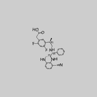 C[C@@H](CN[C@H](c1ccccc1)[C@H]1CNc2cccc(C#N)c2N1)c1cc(CC(=O)O)c(F)cc1F